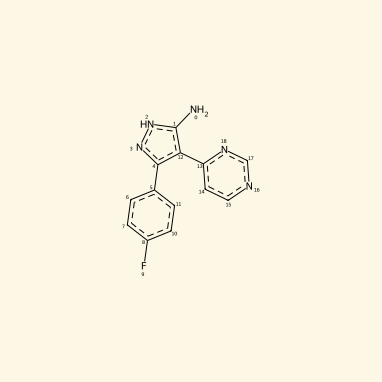 Nc1[nH]nc(-c2ccc(F)cc2)c1-c1ccncn1